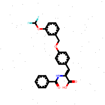 O=C(O)C(=Cc1ccc(OCc2cccc(OC(F)F)c2)cc1)NC(=O)c1ccccc1